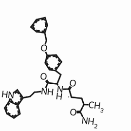 CC(C[CH]C(=O)NC(Cc1ccc(OCc2ccccc2)cc1)C(=O)NCCc1c[nH]c2ccccc12)C(N)=O